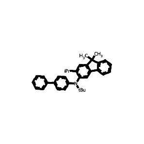 CC(C)c1cc2c(cc1N(c1ccc(-c3ccccc3)cc1)C(C)(C)C)-c1ccccc1C2(C)C